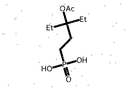 CCC(CC)(CCP(=O)(O)O)OC(C)=O